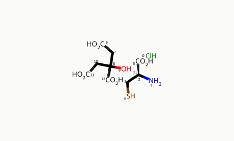 Cl.N[C@@H](CS)C(=O)O.O=C(O)CC(O)(CC(=O)O)C(=O)O